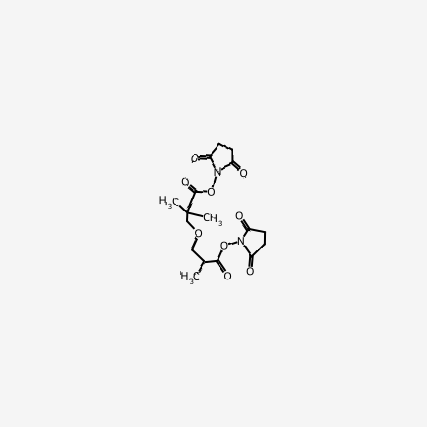 CC(COCC(C)(C)C(=O)ON1C(=O)CCC1=O)C(=O)ON1C(=O)CCC1=O